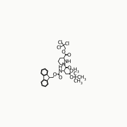 CC(C)(C)OC(=O)CC(NC(=O)OCC1c2ccccc2-c2ccccc21)C(=O)N1CCCC(C(=O)OCC(Cl)(Cl)Cl)N1